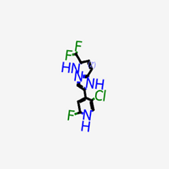 N=C(/C=C\c1ncc(C2=CC(F)NC=C2Cl)[nH]1)C(F)F